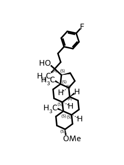 CO[C@H]1CC[C@@]2(C)[C@@H](CC[C@@H]3[C@@H]2CC[C@@]2(C)[C@H]3CC[C@@H]2[C@](C)(O)CCc2ccc(F)cc2)C1